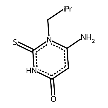 CC(C)Cn1c(N)cc(=O)[nH]c1=S